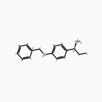 CC[C@H](N)c1ccc(OCc2ccccc2)cc1